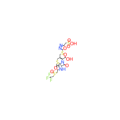 O=C(C[S+]([O-])CC(F)(F)F)NC1C(=O)N2C(C(=O)O)=C(CSc3nnc(CS(=O)(=O)O)o3)CS[C@H]12